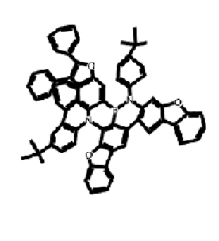 CC(C)(C)c1ccc(N2B3c4cc5oc(-c6ccccc6)c(-c6ccccc6)c5cc4N(c4ccc(C(C)(C)C)cc4-c4ccccc4)c4c3c(cc3c4oc4ccccc43)-c3cc4c(cc32)oc2ccccc24)cc1